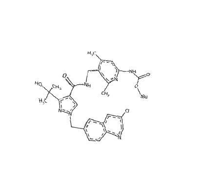 Cc1cc(NC(=O)OC(C)(C)C)nc(C)c1CNC(=O)c1cn(Cc2ccc3ncc(Cl)cc3c2)nc1C(C)(C)O